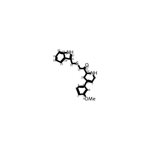 COc1cccc(C2=CCNC(C(=O)CSCc3c[nH]c4ccccc34)C2)c1